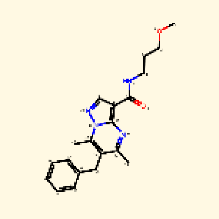 COCCCNC(=O)c1cnn2c(C)c(Cc3ccccc3)c(C)nc12